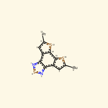 CCC(C)c1cc2c3nsnc3c3cc(C(C)C)sc3c2s1